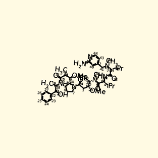 CC[C@H](C)[C@@H]([C@@H](CC(=O)N1CCC[C@H]1C(OC)[C@@H](C)C(=O)N[C@H](C)[C@@H](O)c1ccccc1)OC)N(C)C(=O)[C@@H](NC(=O)[C@H](C(C)C)N(C)Cc1ccnc(N)c1)C(C)C